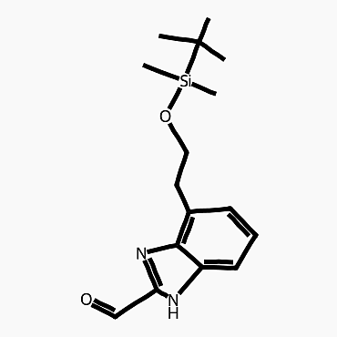 CC(C)(C)[Si](C)(C)OCCc1cccc2[nH]c(C=O)nc12